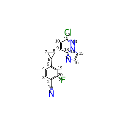 N#Cc1ccc([C@H]2C[C@@H]2c2cc(Cl)nn3ccnc23)cc1F